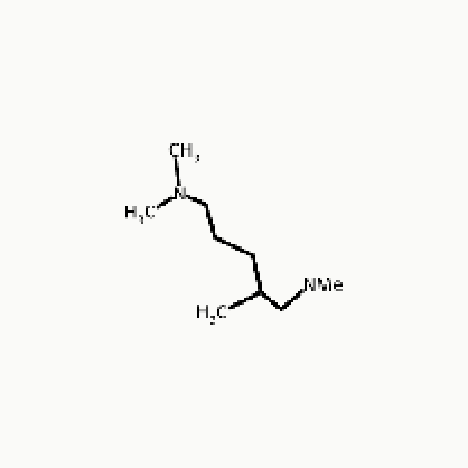 CNCC(C)CCCN(C)C